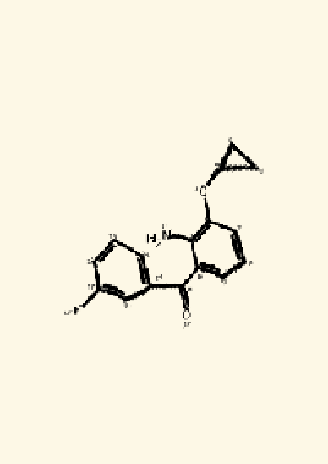 Nc1c(OC2CC2)cccc1C(=O)c1cccc(F)c1